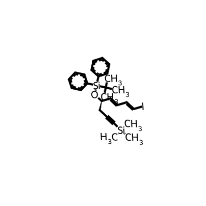 CC(C)(C)[Si](O[C@@H](C=CC=CI)CC#C[Si](C)(C)C)(c1ccccc1)c1ccccc1